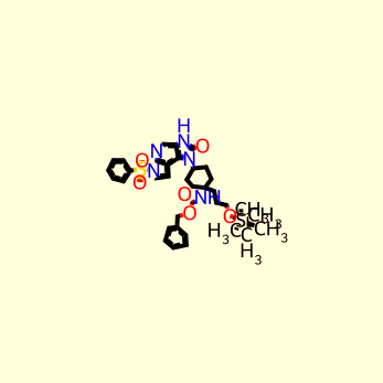 CC(C)(C)[Si](C)(C)OCCCC1(NC(=O)OCc2ccccc2)CCC(n2c(=O)[nH]c3cnc4c(ccn4S(=O)(=O)c4ccccc4)c32)CC1